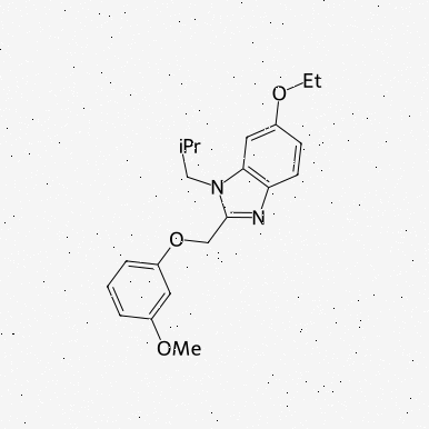 CCOc1ccc2nc(COc3cccc(OC)c3)n(CC(C)C)c2c1